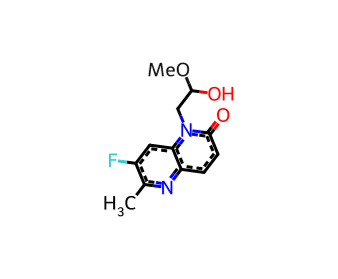 COC(O)Cn1c(=O)ccc2nc(C)c(F)cc21